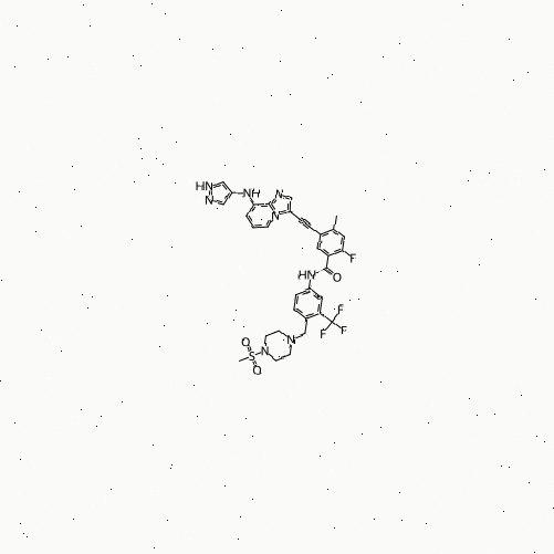 Cc1cc(F)c(C(=O)Nc2ccc(CN3CCN(S(C)(=O)=O)CC3)c(C(F)(F)F)c2)cc1C#Cc1cnc2c(Nc3cn[nH]c3)cccn12